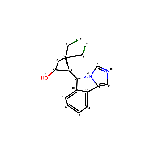 O[C@H]1CC(CF)(CF)[C@H]1[C@H]1c2ccccc2-c2cncn21